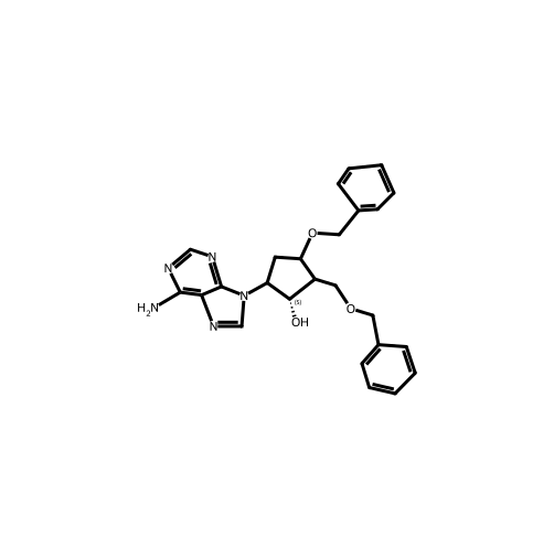 Nc1ncnc2c1ncn2C1CC(OCc2ccccc2)C(COCc2ccccc2)[C@@H]1O